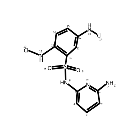 Nc1cccc(NS(=O)(=O)c2cc(NCl)ccc2NCl)n1